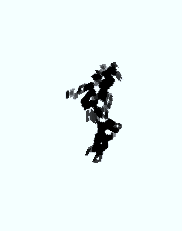 CC[C@@H]1CC[C@H](C(=O)NC(c2cc(F)c(Cl)cc2F)C2COC2)N1C(=O)c1cc(C(F)(F)F)ncn1